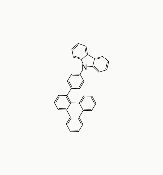 c1ccc2c(c1)c1ccccc1c1c(-c3ccc(-n4c5ccccc5c5ccccc54)cc3)cccc21